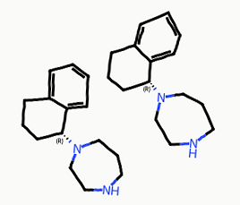 c1ccc2c(c1)CCC[C@H]2N1CCCNCC1.c1ccc2c(c1)CCC[C@H]2N1CCCNCC1